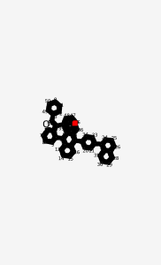 c1ccc(-c2oc3cccc(-c4c5ccccc5c(-c5ccc(-c6cccc7ccccc67)cc5)c5ccccc45)c3c2-c2ccccc2)cc1